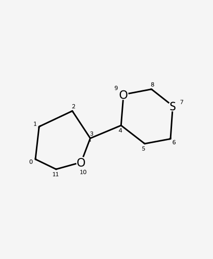 C1CC[C](C2CCSCO2)OC1